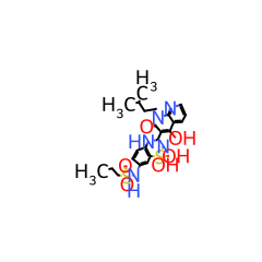 CCCS(=O)(=O)Nc1ccc2c(c1)S(O)(O)N=C(c1c(O)c3cccnc3n(CCC(C)C)c1=O)N2